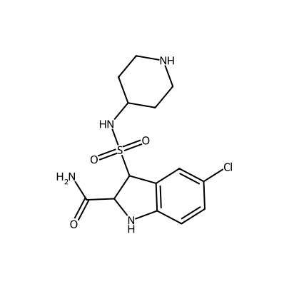 NC(=O)C1Nc2ccc(Cl)cc2C1S(=O)(=O)NC1CCNCC1